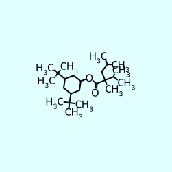 CC(C)CC(C)(C(=O)OC1CC(C(C)(C)C)CC(C(C)(C)C)C1)C(C)C